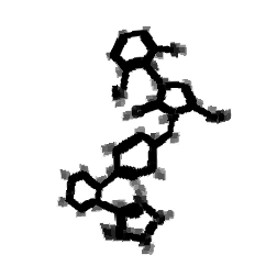 CCCCc1cn(-c2c(F)cccc2C(C)=O)c(=O)n1Cc1ccc(-c2ccccc2-c2nnn[nH]2)cc1